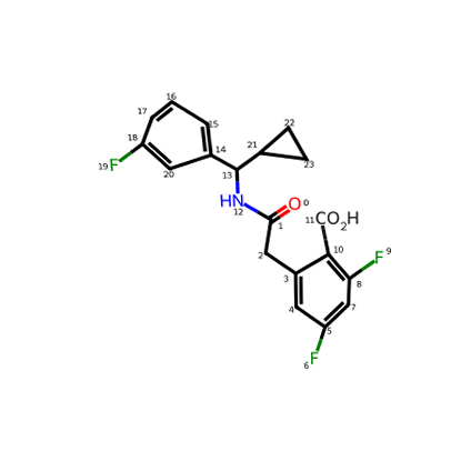 O=C(Cc1cc(F)cc(F)c1C(=O)O)NC(c1cccc(F)c1)C1CC1